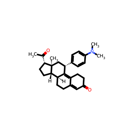 CC(=O)[C@H]1CC[C@H]2[C@@H]3CCC4=CC(=O)CCC4=C3[C@@H](c3ccc(N(C)C)cc3)C[C@]12C